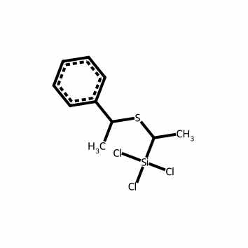 CC(SC(C)[Si](Cl)(Cl)Cl)c1ccccc1